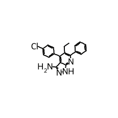 CCc1c(-c2ccccc2)nc2[nH]nc(N)c2c1-c1ccc(Cl)cc1